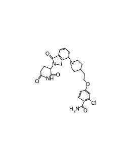 NC(=O)c1ccc(OCCC2CCN(c3cccc4c3CN(C3CCC(=O)NC3=O)C4=O)CC2)cc1Cl